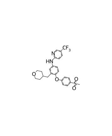 CS(=O)(=O)c1ccc(Oc2ccc(Nc3ccc(C(F)(F)F)cn3)cc2CC2CCOCC2)cc1